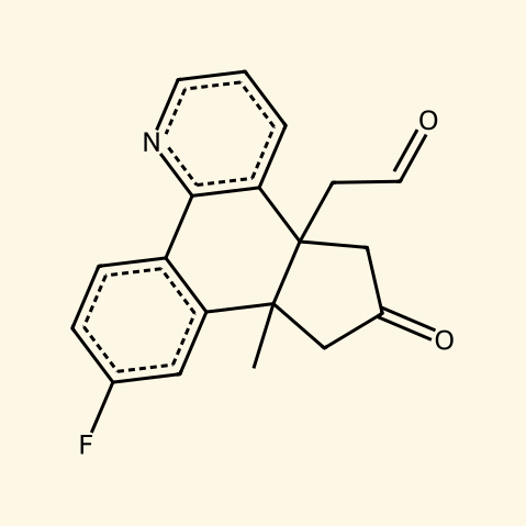 CC12CC(=O)CC1(CC=O)c1cccnc1-c1ccc(F)cc12